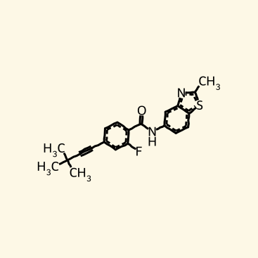 Cc1nc2cc(NC(=O)c3ccc(C#CC(C)(C)C)cc3F)ccc2s1